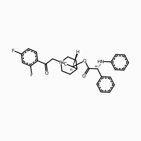 O=C(C[N+]12CCC(CC1)[C@@H](OC(=O)[C@H](Nc1ccccc1)c1ccccc1)C2)c1ccc(F)cc1F